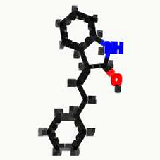 O=C1Nc2ccccc2C1=CCc1ccccc1